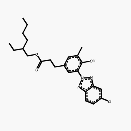 CCCCC(CC)COC(=O)CCc1cc(C)c(O)c(-n2nc3ccc(Cl)cc3n2)c1